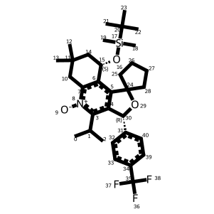 CC(C)c1c2c(c3c([n+]1[O-])CC(C)(C)C[C@@H]3O[Si](C)(C)C(C)(C)C)C1(CCCC1)O[C@@H]2c1ccc(C(F)(F)F)cc1